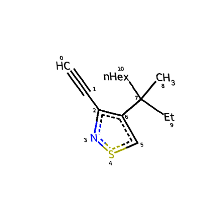 C#Cc1nscc1C(C)(CC)CCCCCC